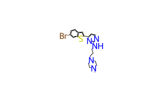 CN1CCN(CCCNc2nccc(-c3cc4ccc(Br)cc4s3)n2)CC1